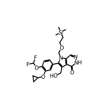 C[Si](C)(C)CCOCn1c(-c2ccc(OC(F)F)c(OC3CC3)c2)c(CO)c2c(=O)[nH]ncc21